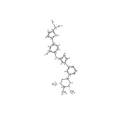 C[C@@H]1CN(c2cccc(-c3cn(Cc4ccc(-c5nnc(C(F)F)o5)cc4F)nn3)c2)C[C@H](C)N1C